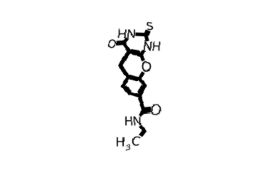 CCNC(=O)c1ccc2c(c1)Oc1[nH]c(=S)[nH]c(=O)c1C2